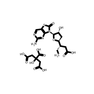 CC[C@@H](CC(=O)O)[C@@H]1C[C@@H](O)[C@H](n2c(=O)sc3cnc(N)nc32)O1.O=C(O)CC(O)(CC(=O)O)C(=O)O